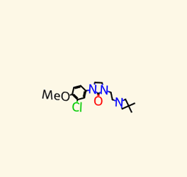 COc1ccc(N2CCN(CCN3CC(C)(C)C3)C2=O)cc1Cl